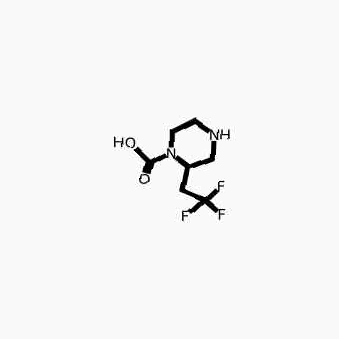 O=C(O)N1CCNCC1CC(F)(F)F